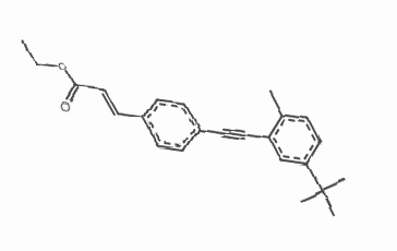 CCOC(=O)C=Cc1ccc(C#Cc2cc(C(C)(C)C)ccc2C)cc1